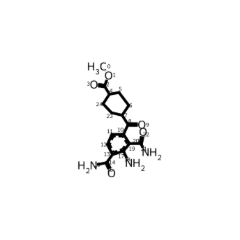 COC(=O)C1CCC(C(=O)c2ccc(C(N)=O)c(N)c2C(N)=O)CC1